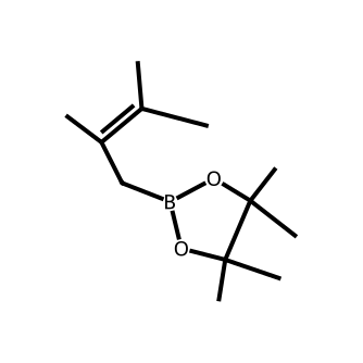 CC(C)=C(C)CB1OC(C)(C)C(C)(C)O1